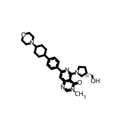 Cn1cnc2cc(-c3ccc(C4CCC(N5CCOCC5)CC4)cc3)nc(N3CC[C@H](CO)C3)c2c1=O